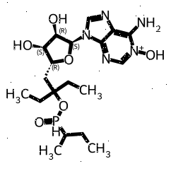 CCC(C)[PH](=O)OC(CC)(CC)C[C@H]1O[C@H](n2cnc3c(N)[n+](O)cnc32)[C@H](O)[C@@H]1O